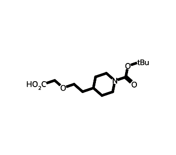 CC(C)(C)OC(=O)N1CCC(CCOCC(=O)O)CC1